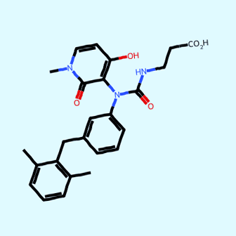 Cc1cccc(C)c1Cc1cccc(N(C(=O)NCCC(=O)O)c2c(O)ccn(C)c2=O)c1